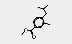 COC(=O)c1ccc(CC(C)C)c(C)c1